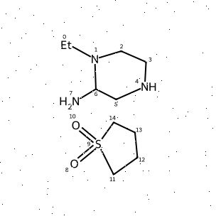 CCN1CCNCC1N.O=S1(=O)CCCC1